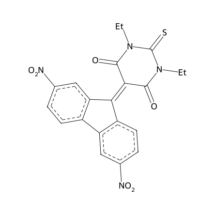 CCN1C(=O)C(=C2c3cc([N+](=O)[O-])ccc3-c3cc([N+](=O)[O-])ccc32)C(=O)N(CC)C1=S